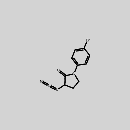 [N-]=[N+]=NC1CCN(c2ccc(Br)cc2)C1=O